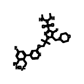 CPN(PC)S(=O)(=O)c1nn(C(C)(C)COc2cc(-c3cc(F)cc(C(C)C)c3CC(=O)O)ccn2)c(CN2CCOCC2)c1F